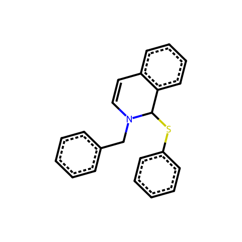 C1=CN(Cc2ccccc2)C(Sc2ccccc2)c2ccccc21